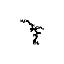 C=CCNC(=S)N(C)C(=S)NCC=C